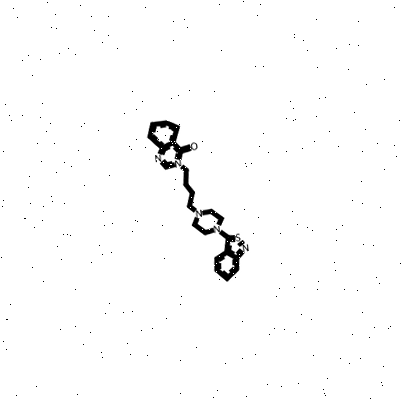 O=c1c2ccccc2ncn1CCCCN1CCN(c2snc3ccccc23)CC1